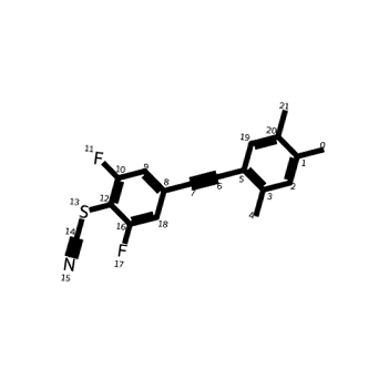 Cc1cc(C)c(C#Cc2cc(F)c(SC#N)c(F)c2)cc1C